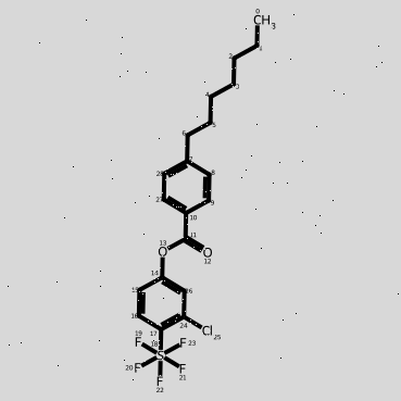 CCCCCCCc1ccc(C(=O)Oc2ccc(S(F)(F)(F)(F)F)c(Cl)c2)cc1